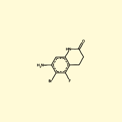 Nc1cc2c(c(F)c1Br)CCC(=O)N2